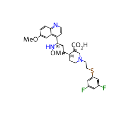 CON[C@H](CC[C@@H]1CCN(CCSc2cc(F)cc(F)c2)C[C@@H]1C(=O)O)c1ccnc2ccc(OC)cc12